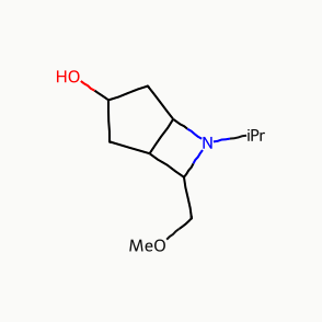 COCC1C2CC(O)CC2N1C(C)C